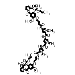 C=CCOC(=O)N1c2cc(OCCCNC(=O)c3cc(NC(=O)c4cc(NC(=O)c5cc(NC(=O)CCCOc6cc7c(cc6OC)C(=O)N6CCC[C@H]6[C@H](OC)N7C(=O)OCC=C)cn5C)cn4C)cn3C)c(OC)cc2C(=O)N2CCC[C@H]2[C@@H]1O